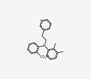 Cc1cccc(N(CCc2cccnc2)c2ccccc2C(=O)O)c1C